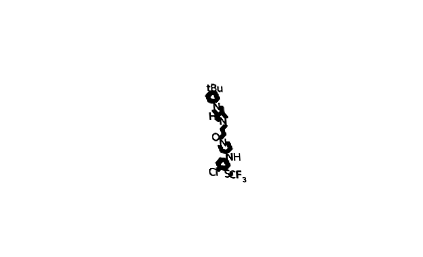 CC(C)(C)c1ccc(N2CC3CN(CCCC(=O)N4CCC(Nc5ccc(Cl)c(SC(F)(F)F)c5)CC4)C[C@H]3C2)cc1